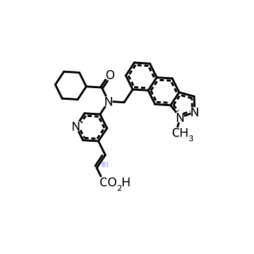 Cn1ncc2cc3cccc(CN(C(=O)C4CCCCC4)c4cncc(/C=C/C(=O)O)c4)c3cc21